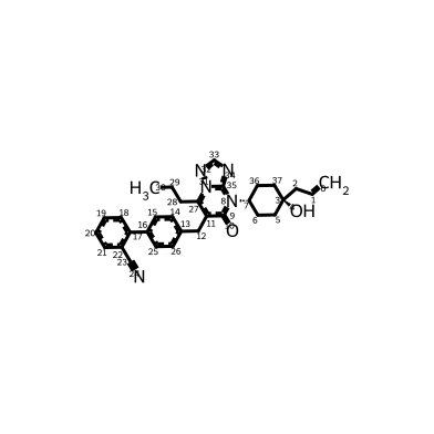 C=CC[C@]1(O)CC[C@H](n2c(=O)c(Cc3ccc(-c4ccccc4C#N)cc3)c(CCC)n3ncnc32)CC1